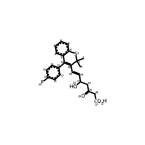 CC1(C)Sc2ccccc2C(c2ccc(F)cc2)=C1C=CC(O)CC(=O)CC(=O)O